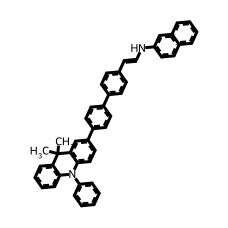 CC1(C)c2ccccc2N(c2ccccc2)c2ccc(-c3ccc(-c4ccc(/C=C/Nc5ccc6ccccc6c5)cc4)cc3)cc21